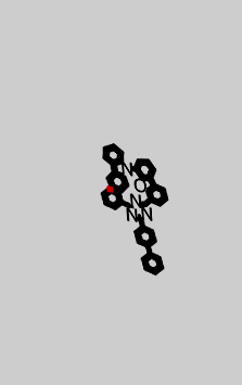 c1ccc(-c2ccc(-c3nc(-c4ccccc4)nc(-c4cccc5c4oc4c(-n6c7ccccc7c7ccccc76)cccc45)n3)cc2)cc1